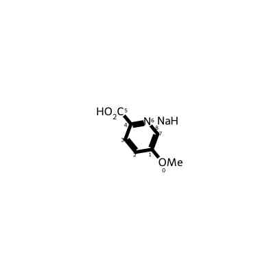 COc1ccc(C(=O)O)nc1.[NaH]